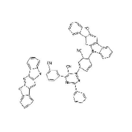 N#Cc1cc(-c2nc(-c3ccccc3)nc(-c3ccc(-n4c5ccccc5c5cc6oc7ccccc7c6cc54)c(C#N)c3)c2C#N)ccc1-n1c2ccccc2c2cc3oc4ccccc4c3cc21